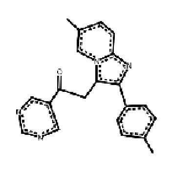 Cc1ccc(-c2nc3ccc(C)cn3c2CC(=O)c2cncnc2)cc1